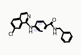 C=C(/C=C\C(=C/C)Nc1nccc2ccc(Cl)cc12)C(=O)NCc1ccccc1